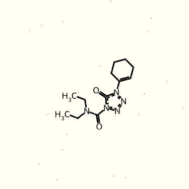 CCN(CC)C(=O)n1nnn(C2=CCCCC2)c1=O